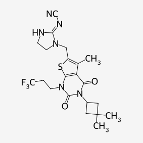 Cc1c(CN2CCN/C2=N\C#N)sc2c1c(=O)n(C1CC(C)(C)C1)c(=O)n2CCC(F)(F)F